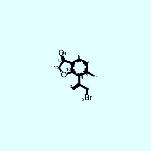 C=C(CBr)c1c(C)ccc2c1OCC2=O